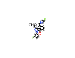 O=CCC1=NN2c3cc(F)ccc3OCC2[C@]1(CCCN1CC(F)C1)c1ccccc1